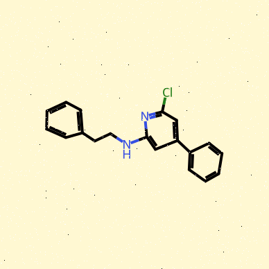 Clc1cc(-c2ccccc2)cc(NCCc2ccccc2)n1